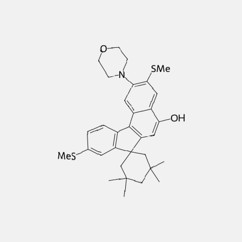 CSc1ccc2c(c1)C1(CC(C)(C)CC(C)(C)C1)c1cc(O)c3cc(SC)c(N4CCOCC4)cc3c1-2